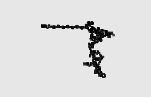 Cc1cc(N(CCCC(O)C[N+](C)(C)CCCS(=O)(=O)O)c2nc(C(=O)O)c(CCCOc3ccc(C#CCN(C)C(=O)OCc4ccc(NC(=O)[C@H](CCCNC(N)=O)NC(=O)[C@@H](NC(=O)CCOCCN5C(=O)C=CC5=O)C(C)C)cc4CN(C)C(=O)OCc4cn(CCOCCOCCOCCOCCOCCOCCOCCOCCC(=O)O)nn4)cc3F)s2)nnc1Nc1nc2ccccc2s1